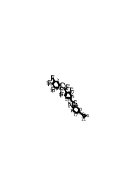 Fc1cc(OC(F)(F)c2c(F)cc(-c3nc4ccc(C5CC5)cc4s3)cc2F)cc(F)c1F